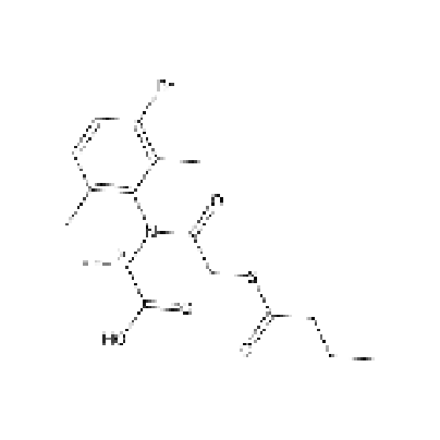 CCCC(=O)SCC(=O)N(c1c(C)ccc(Br)c1C)[C@@H](C)C(=O)O